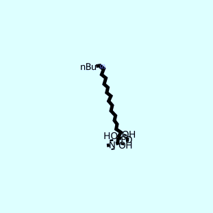 CCCC/C=C\CCCCCCCCCCCCCCC(O)(C[N+](C)(C)C)P(=O)(O)O